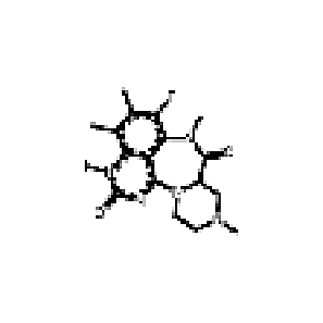 Cc1c(F)c2c3c(nc(=O)n(I)c3c1F)N1CCN(C)CC1C(=O)N2C